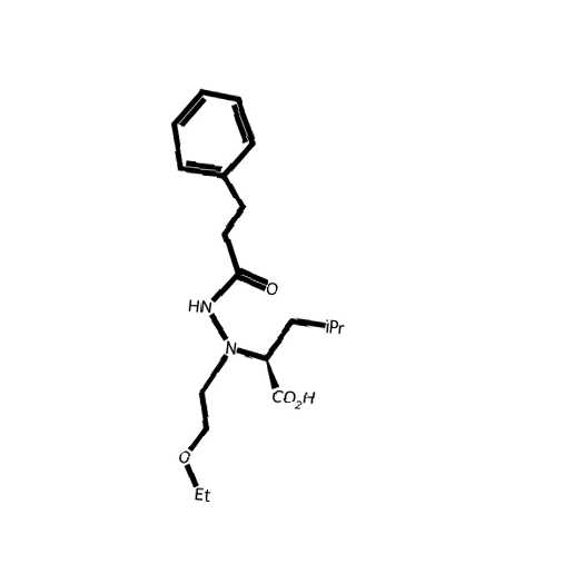 CCOCCN(NC(=O)CCc1ccccc1)[C@@H](CC(C)C)C(=O)O